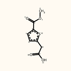 COC(=O)c1ccc(CC(=O)O)s1